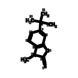 Cn1c(=S)oc2cc(C(C)(C)C)ccc21